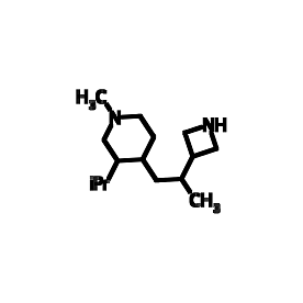 CC(C)C1CN(C)CCC1CC(C)C1CNC1